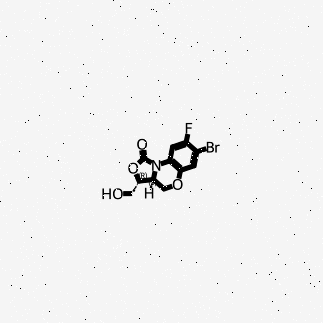 O=C1O[C@@H](CO)[C@@H]2COc3cc(Br)c(F)cc3N12